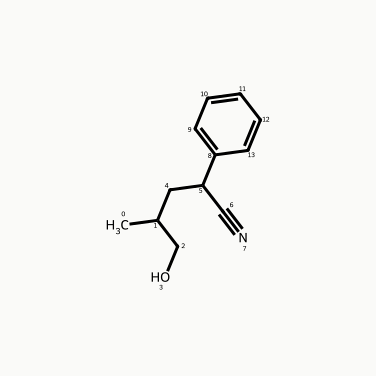 CC(CO)CC(C#N)c1ccccc1